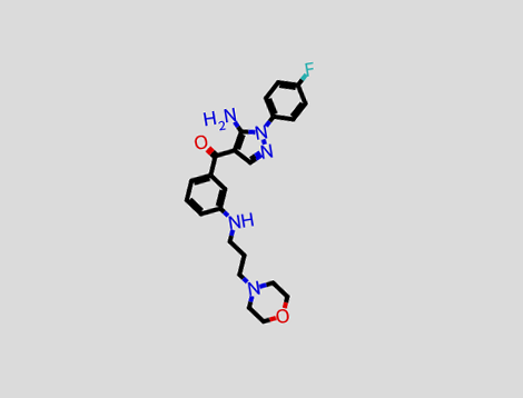 Nc1c(C(=O)c2cccc(NCCCN3CCOCC3)c2)cnn1-c1ccc(F)cc1